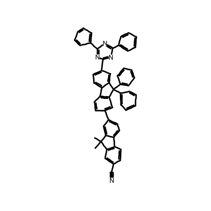 CC1(C)c2cc(C#N)ccc2-c2ccc(-c3ccc4c(c3)C(c3ccccc3)(c3ccccc3)c3cc(-c5nc(-c6ccccc6)nc(-c6ccccc6)n5)ccc3-4)cc21